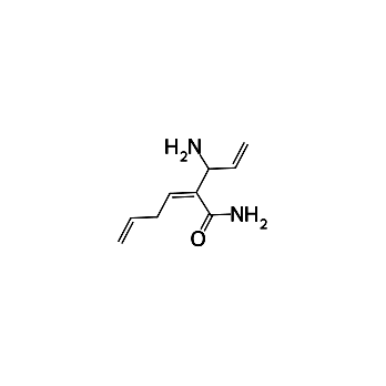 C=CCC=C(C(N)=O)C(N)C=C